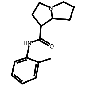 Cc1ccccc1NC(=O)C1CCN2CCCC12